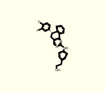 OCCc1ccc(Nc2ncc3c(n2)-c2ccccc2[C@@H](c2ccc(F)c(F)c2)C3)cc1